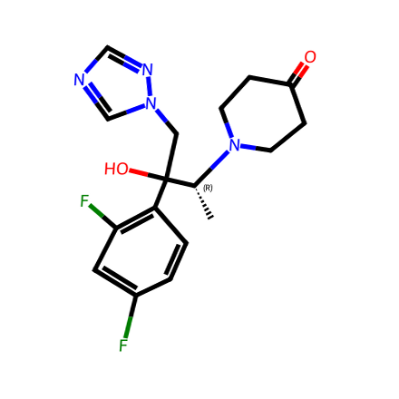 C[C@@H](N1CCC(=O)CC1)C(O)(Cn1cncn1)c1ccc(F)cc1F